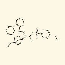 O=C(CS(=O)(=O)c1ccc(CO)cc1)N(CCCCBr)OC(c1ccccc1)(c1ccccc1)c1ccccc1